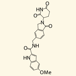 COc1ccc2[nH]c(C(=O)NCc3ccc4c(c3)CN(C3CCC(=O)NC3=O)C4=O)cc2c1